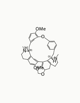 COc1ccc2cc1Oc1ccc(cc1)C[C@H]1C3=C(CCN1C)CC1OCOC1=C3c1cc3c(cc1OC)CCN(C)[C@@H]3C2